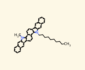 CCCCCCCCCCn1c2cc3ccccc3cc2c2ccc3c(ccc4c5cc6ccccc6cc5n(C)c43)c21